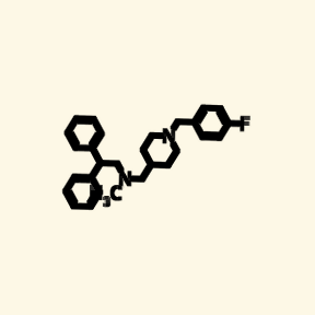 CN(CC1CCN(Cc2ccc(F)cc2)CC1)CC(c1ccccc1)c1ccccc1